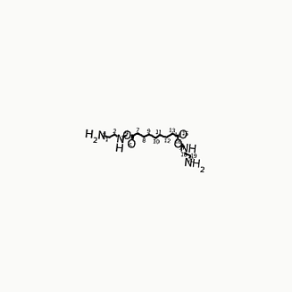 NCCNOC(=O)CCCCCCCC(=O)ONCCN